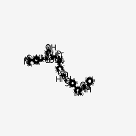 Cc1ncc(-c2ccc3nc(NC(=O)CN4CCC(c5cn([C@H](C(=O)N6C[C@H](O)C[C@H]6C(=O)NCc6ccc(-c7scnc7C)cc6)C(C)C)nn5)CC4)sc3c2)cc1NC(=O)OC1CCCCC1